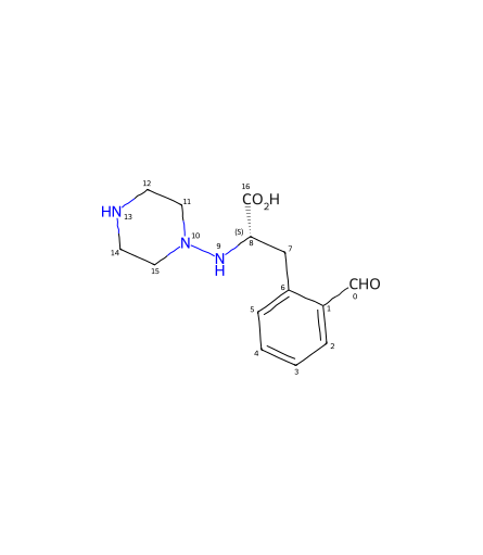 O=Cc1ccccc1C[C@H](NN1CCNCC1)C(=O)O